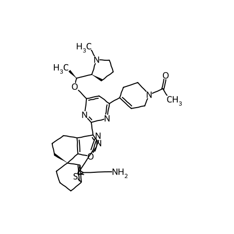 CC(=O)N1CC=C(c2cc(O[C@@H](C)[C@@H]3CCCN3C)nc(-c3noc4c3CCC[C@@]43CCCc4sc(N)c(C#N)c43)n2)CC1